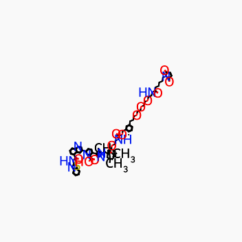 Cc1c(-c2ccc(-c3cnc4cccc(C(=O)Nc5nc6ccccc6s5)c4c3)nc2C(=O)O)cnn1CC12CC3(C)CC(C)(C1)CC(OCCNC(=O)OCc1[c]ccc(CCCOCCOCCOCCNC(=O)CCCCCN4C(=O)C=CC4=O)c1)(C3)C2